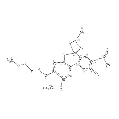 COCCCOc1cc2c(cc1OC)-c1cc(=O)c(C(=O)O)cn1C1(C2)CC(O)C1